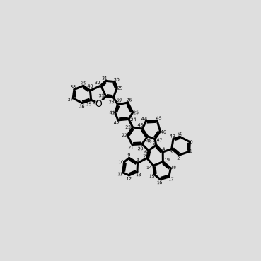 c1ccc(-c2c3c(c(-c4ccccc4)c4ccccc24)-c2ccc(-c4ccc(-c5cccc6c5oc5ccccc56)cc4)c4cccc-3c24)cc1